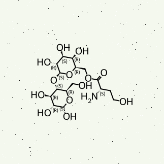 N[C@@H](CCO)C(=O)OC[C@H]1O[C@@H](O[C@H]2[C@H](O)[C@@H](O)[C@@H](O)O[C@@H]2CO)[C@H](O)[C@@H](O)[C@H]1O